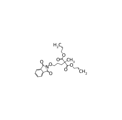 C=CCOC(=O)C(C)(CCCON1C(=O)c2ccccc2C1=O)C(=O)OCC=C